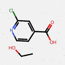 CCO.O=C(O)c1ccnc(Cl)c1